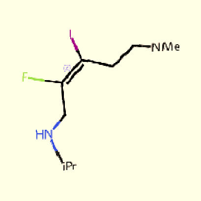 CNCC/C(I)=C(/F)CNC(C)C